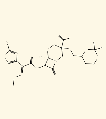 CON=C(C(=O)NC1C(=O)N2CC(SCC3CCOC(C)(C)O3)(C(=O)O)CS[C@H]12)c1csc(N)n1